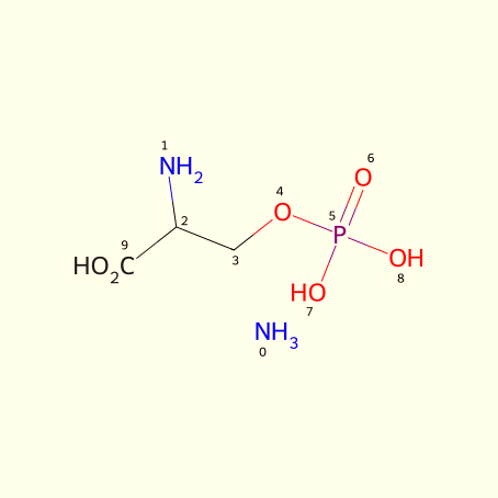 N.NC(COP(=O)(O)O)C(=O)O